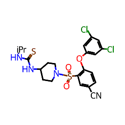 CC(C)NC(=S)NC1CCN(S(=O)(=O)c2cc(C#N)ccc2Oc2cc(Cl)cc(Cl)c2)CC1